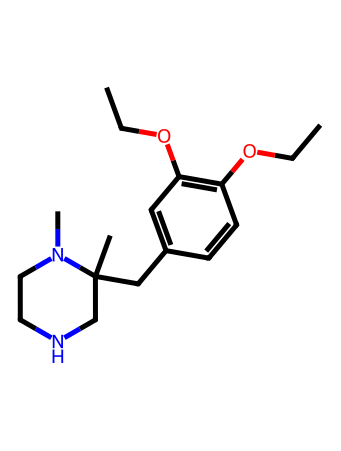 CCOc1ccc(CC2(C)CNCCN2C)cc1OCC